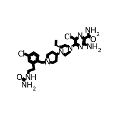 CC[C@H]1CN(c2nc(N)c(C(N)=O)nc2Cl)CCN1C1CCN(Cc2ccc(Cl)cc2CCNC(N)=O)CC1